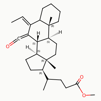 CC=C1C(=C=O)[C@H]2[C@@H]3CC[C@H](C(C)CCC(=O)OC)[C@@]3(C)CC[C@@H]2[C@@]2(C)CCCCC12